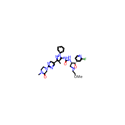 COCCN1C[C@@H](NC(=O)Nc2c(C)c(-c3cnc(N4CCN(C)C(=O)C4)nc3)nn2-c2ccccc2)[C@H](c2ccnc(F)c2)O1